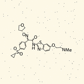 CNCCOc1ccc2nc(NC(=O)/C(=N/O[C@@H]3CCOC3)c3ccc(S(=O)(=O)C4CC4)cc3)sc2c1